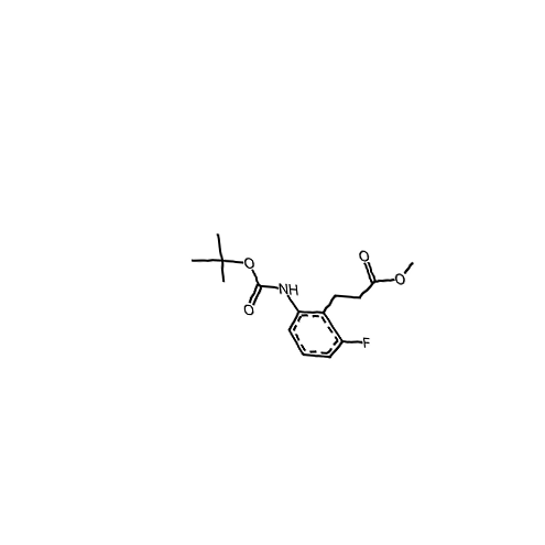 COC(=O)CCc1c(F)cccc1NC(=O)OC(C)(C)C